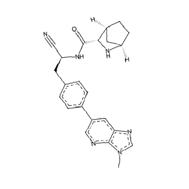 Cn1cnc2cc(-c3ccc(C[C@@H](C#N)NC(=O)[C@H]4N[C@@H]5CC[C@H]4C5)cc3)cnc21